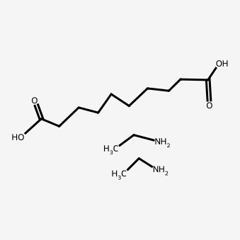 CCN.CCN.O=C(O)CCCCCCCCC(=O)O